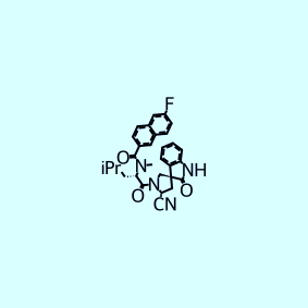 CC(C)C[C@@H](C(=O)N1C[C@]2(C[C@H]1C#N)C(=O)Nc1ccccc12)N(C)C(=O)c1ccc2cc(F)ccc2c1